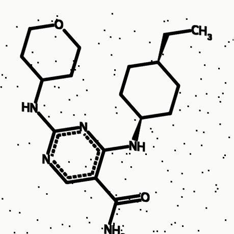 CC[C@H]1CC[C@@H](Nc2nc(NC3CCOCC3)ncc2C(N)=O)CC1